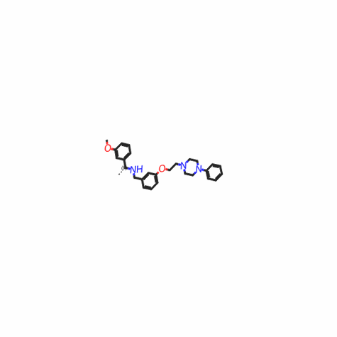 COc1cccc([C@@H](C)NCc2cccc(OCCN3CCN(c4ccccc4)CC3)c2)c1